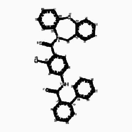 O=C(Nc1ccc(C(=O)N2Cc3ccccc3Oc3ccccc32)c(Cl)c1)c1ccccc1-c1ccccc1